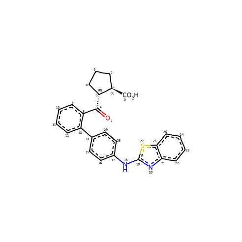 O=C(O)[C@@H]1CCC[C@H]1C(=O)c1ccccc1-c1ccc(Nc2nc3ccccc3s2)cc1